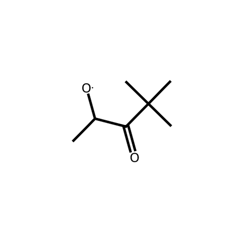 CC([O])C(=O)C(C)(C)C